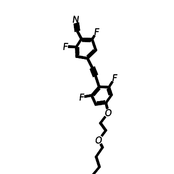 CCCCOCCOc1cc(F)c(C#Cc2cc(F)c(C#N)c(F)c2)c(F)c1